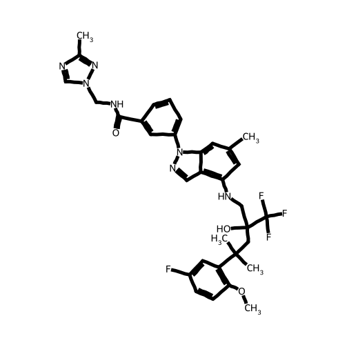 COc1ccc(F)cc1C(C)(C)CC(O)(CNc1cc(C)cc2c1cnn2-c1cccc(C(=O)NCn2cnc(C)n2)c1)C(F)(F)F